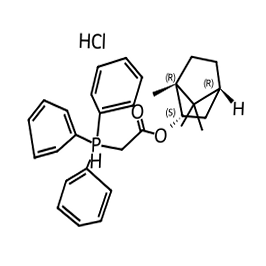 CC1(C)[C@@H]2CC[C@@]1(C)[C@@H](OC(=O)C[PH](c1ccccc1)(c1ccccc1)c1ccccc1)C2.Cl